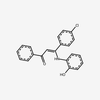 O=C(/C=C(\Nc1ccccc1O)c1ccc(Cl)cc1)c1ccccc1